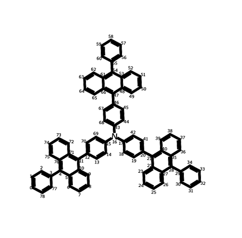 c1ccc(-c2c3ccccc3c(-c3ccc(N(c4ccc(-c5c6ccccc6c(-c6ccccc6)c6ccccc56)cc4)c4ccc(-c5c6ccccc6c(-c6ccccc6)c6ccccc56)cc4)cc3)c3ccccc23)cc1